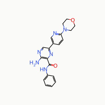 Nc1ncc(-c2ccc(N3CCOCC3)nc2)nc1C(=O)Nc1ccccc1